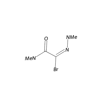 CN/N=C(/Br)C(=O)NC